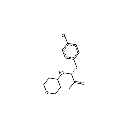 CC(=O)[C@@H](Cc1ccc(Cl)cc1)NC1CCOCC1